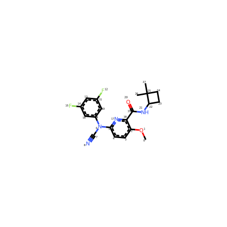 COc1ccc(N(C#N)c2cc(F)cc(F)c2)nc1C(=O)NC1CCC1(C)C